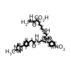 Cc1nnc(-c2ccc(CC(=O)NCCCN(c3ccc([N+](=O)[O-])cc3)S(=O)(=O)CCNCCCCC(C(=O)O)C(=O)NP)cc2)nn1